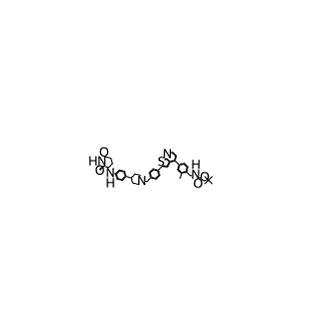 Cc1cc(-c2ccnc3sc(-c4ccc(CN5CCC(c6ccc(NC7CCC(=O)NC7=O)cc6)CC5)cc4)cc23)ccc1CNC(=O)OC(C)(C)C